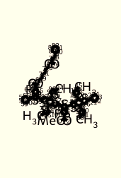 COC(=O)c1sc2c(-c3cc4c(-c5ccc(C)s5)c5sc(-c6ccccc6)cc5c(-c5ccc(C)s5)c4s3)sc(-c3cc4c(-c5ccc(C)s5)c5sc(-c6sc(-c7ccccc7)c7c(F)c(C(=O)OCCCCCCOC(=O)/C=C/c8ccccc8)sc67)cc5c(-c5ccc(C)s5)c4s3)c2c1F